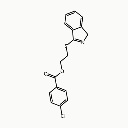 O=C(OCCSC1=NCc2ccccc21)c1ccc(Cl)cc1